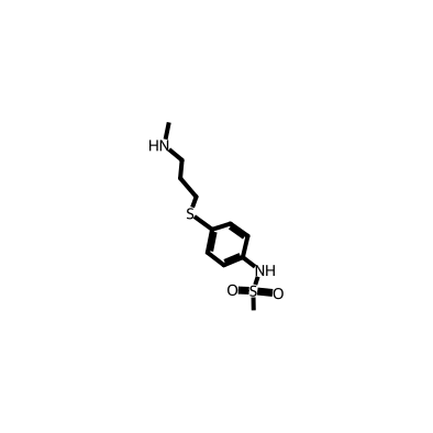 CNCCCSc1ccc(NS(C)(=O)=O)cc1